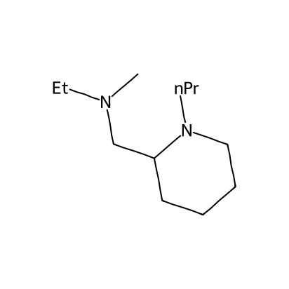 CCCN1CCCCC1CN(C)CC